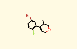 CC1COCC=C1c1cc(Br)ccc1F